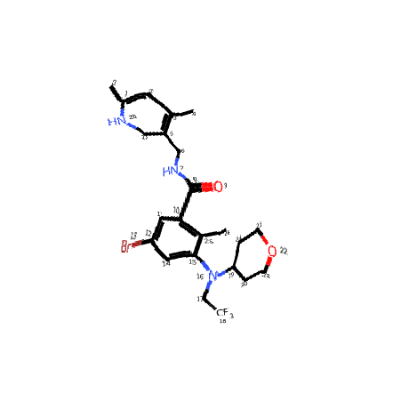 CC1=CC(C)=C(CNC(=O)c2cc(Br)cc(N(CC(F)(F)F)C3CCOCC3)c2C)CN1